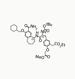 CCOC(=O)Cc1cc(C[C@H](NC(=O)OC(C)(C)C)C(=O)N[C@H]2CCCCc3cc(OCC4CCCCC4)c(C(N)=O)cc32)ccc1OCC(=O)OC